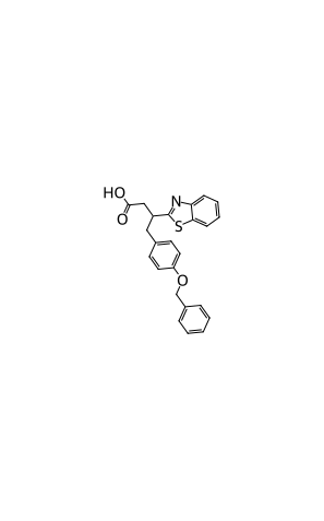 O=C(O)CC(Cc1ccc(OCc2ccccc2)cc1)c1nc2ccccc2s1